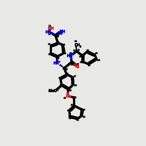 COc1cc([C@H](Nc2ccc(C(=N)NO)cc2)C(=O)N[C@H](C)c2ccccc2)ccc1OCc1ccccc1